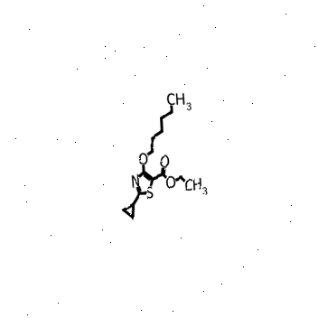 CCCCCCOc1nc(C2CC2)sc1C(=O)OCC